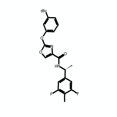 Cc1c(F)cc([C@@H](C)NC(=O)c2coc(Oc3cccc(C(C)(C)C)c3)n2)cc1F